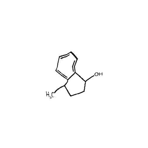 CC1CCC(O)c2ccccc21